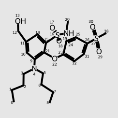 CCCCN(CCCC)c1cc(CO)cc(S(=O)(=O)NC)c1Oc1ccc(S(C)(=O)=O)cc1